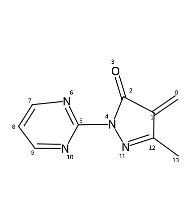 C=C1C(=O)N(c2ncccn2)N=C1C